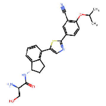 CC(C)Oc1ccc(-c2ncc(-c3cccc4c3CC[C@@H]4NC(=O)[C@H](N)CO)s2)cc1C#N